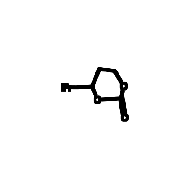 CC(C)C1CCOC(=O)O1